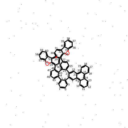 c1ccc2c(c1)-c1cc3c4ccccc4c4ccccc4c3cc1-c1ccc(-c3cccc4c3oc3ccccc34)cc1-c1c-2cccc1-c1cccc2c1oc1ccccc12